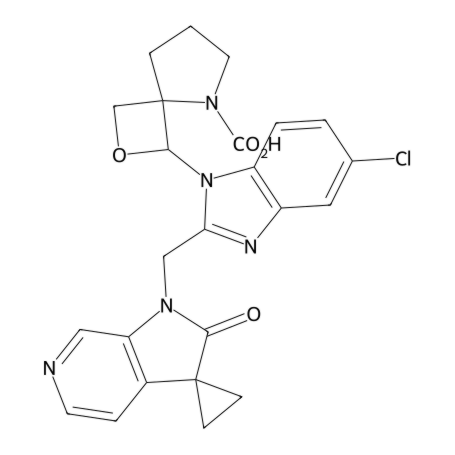 O=C(O)N1CCCC12COC2n1c(CN2C(=O)C3(CC3)c3ccncc32)nc2cc(Cl)ccc21